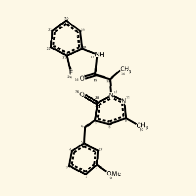 COc1cccc(Cc2cc(C)nn(C(C)C(=O)Nc3ccccc3F)c2=O)c1